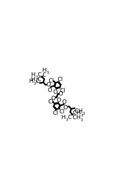 CCC(COC(=O)c1c(Cl)c(Cl)cc(Cl)c1OC(=O)C(=O)Oc1c(Cl)cc(Cl)c(Cl)c1C(=O)OCC(CC)CC(C)(C)C)CC(C)(C)C